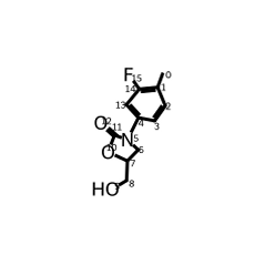 Cc1ccc(N2CC(CO)OC2=O)cc1F